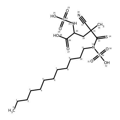 CCCCCCCCCCCCN(C(=S)C(C)(C#N)CC(NS(=O)(=O)O)C(=O)O)S(=O)(=O)O